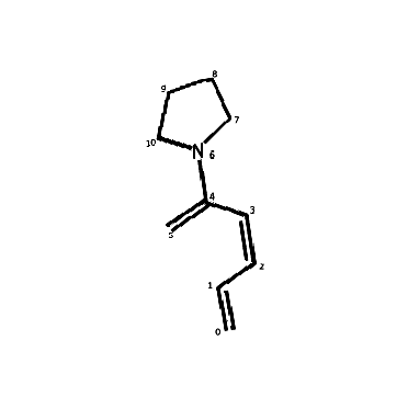 C=C/C=C\C(=C)N1CCCC1